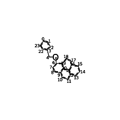 c1ccc(COc2ccc3ccc4cccc5ccc2c3c45)cc1